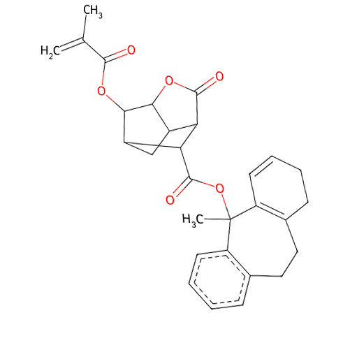 C=C(C)C(=O)OC1C2CC3C1OC(=O)C3C2C(=O)OC1(C)C2=C(CCC=C2)CCc2ccccc21